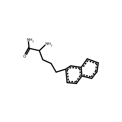 NC(=O)C(N)CCCc1ccc2ccccc2c1